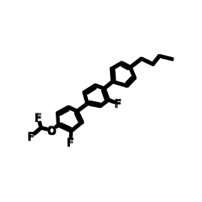 CCCCc1ccc(-c2ccc(-c3ccc(OC(F)F)c(F)c3)cc2F)cc1